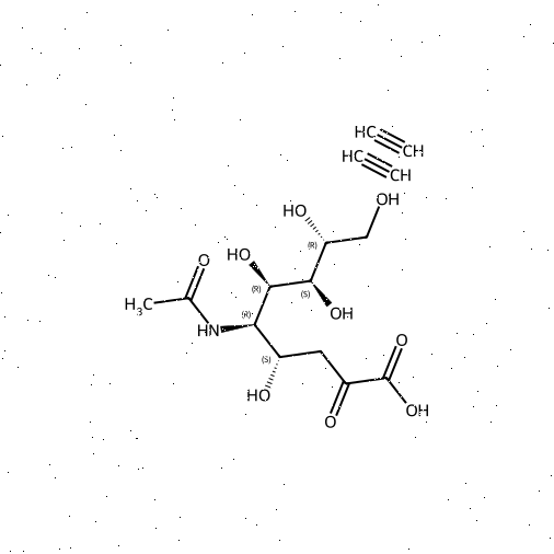 C#C.C#C.CC(=O)N[C@@H]([C@@H](O)[C@H](O)[C@H](O)CO)[C@@H](O)CC(=O)C(=O)O